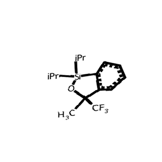 CC(C)[Si]1(C(C)C)OC(C)(C(F)(F)F)c2ccccc21